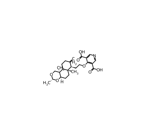 C=C1CCC2[C@]3(C)CO[C@@H](C)O[C@@H]3CC[C@@]2(C)[C@@H]1CCOc1c(C(=O)O)cncc1C(=O)O